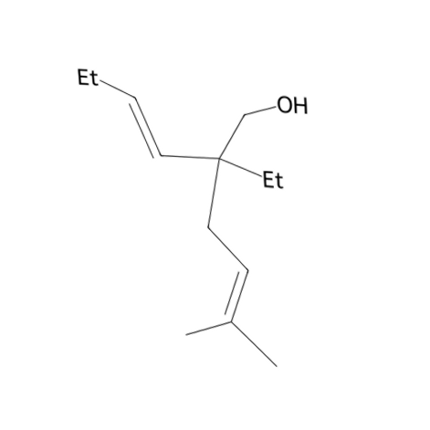 CCC=CC(CC)(CO)CC=C(C)C